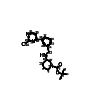 CC(C)(C)OC(=O)N1CCCC(NCc2cccc(-c3ccnc(Cl)n3)c2)C1